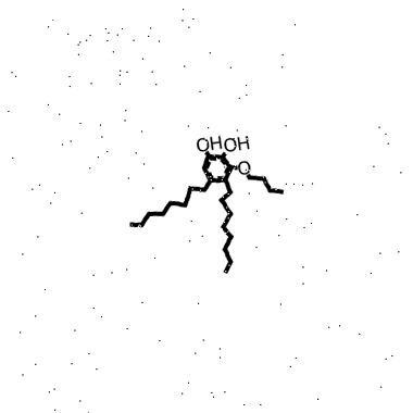 CCCCCCCCc1cc(O)c(O)c(OCCCC)c1CCCCCCCC